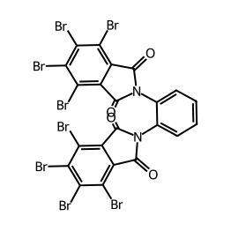 O=C1c2c(Br)c(Br)c(Br)c(Br)c2C(=O)N1c1ccccc1N1C(=O)c2c(Br)c(Br)c(Br)c(Br)c2C1=O